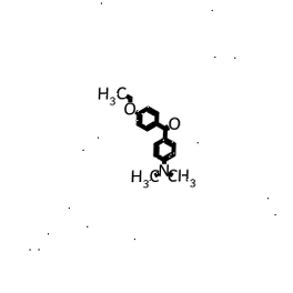 CCOc1ccc(C(=O)c2ccc(N(C)C)cc2)cc1